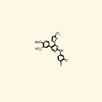 COc1ncc(-c2cnc(Nc3ccc(F)c(Cl)c3)nc2-n2ccc(C(F)(F)F)n2)cc1C(=O)O